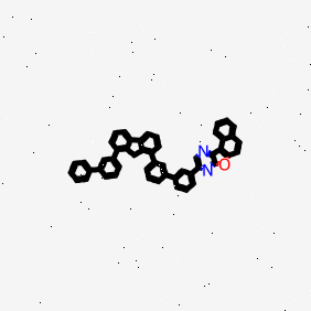 c1ccc(-c2cccc(-c3cccc4c3Cc3c(-c5cccc(-c6cccc(-c7cnc8c(n7)oc7ccc9ccccc9c78)c6)c5)cccc3-4)c2)cc1